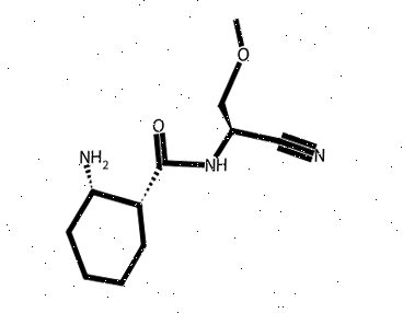 COC[C@@H](C#N)NC(=O)[C@@H]1CCCC[C@@H]1N